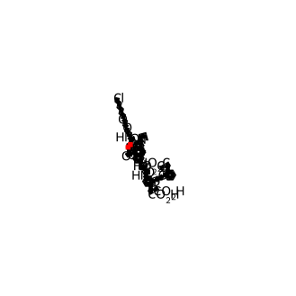 CS1(C)c2cc(N3CCC3)ccc2C2(OC(=O)c3ccc(C(=O)NCCOCCOCCCCCCCl)cc32)c2ccc(N3CC(C(=O)Nc4ccc(N(CC(=O)O)CC(=O)O)c(OCCOc5ccccc5N(CC(=O)O)CC(=O)O)c4)C3)cc21